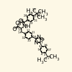 CC(C)c1ccc(-c2nc(-c3ccc(CC(NC(=O)c4ccc(C(C)(C)C)cc4)C(=O)O)cc3)no2)cc1